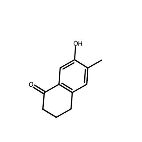 Cc1cc2c(cc1O)C(=O)CCC2